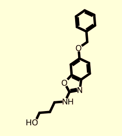 OCCCNc1nc2ccc(OCc3ccccc3)cc2o1